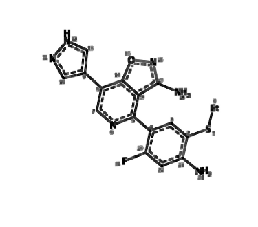 CCSc1cc(-c2ncc(-c3cn[nH]c3)c3onc(N)c23)c(F)cc1N